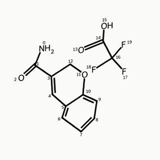 NC(=O)C1=Cc2ccccc2OC1.O=C(O)C(F)(F)F